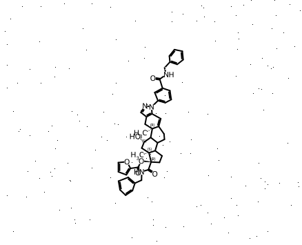 C[C@]12Cc3cnn(-c4cccc(C(=O)NCc5ccccc5)c4)c3C=C1CCC1C2[C@@H](O)C[C@@]2(C)C1CC[C@]2(OC(=O)c1ccco1)C(=O)NCc1ccccc1